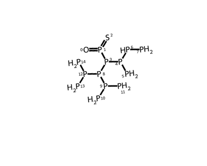 O=P(=S)P(P(P)PP)P(P(P)P)P(P)P